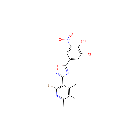 Cc1nc(Br)c(-c2noc(-c3cc(O)c(O)c([N+](=O)[O-])c3)n2)c(C)c1C